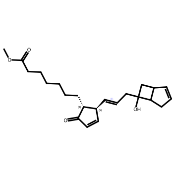 COC(=O)CCCCCC[C@H]1C(=O)C=C[C@@H]1/C=C/CC1(O)CC2C=CCC21